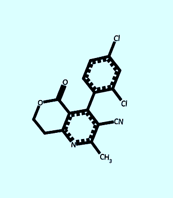 Cc1nc2c(c(-c3ccc(Cl)cc3Cl)c1C#N)C(=O)OCC2